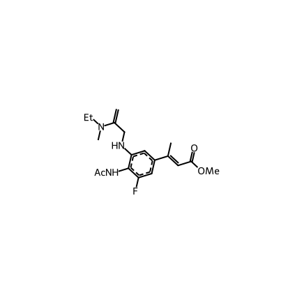 C=C(CNc1cc(/C(C)=C/C(=O)OC)cc(F)c1NC(C)=O)N(C)CC